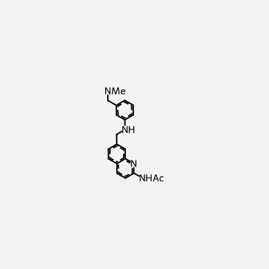 CNCc1cccc(NCc2ccc3ccc(NC(C)=O)nc3c2)c1